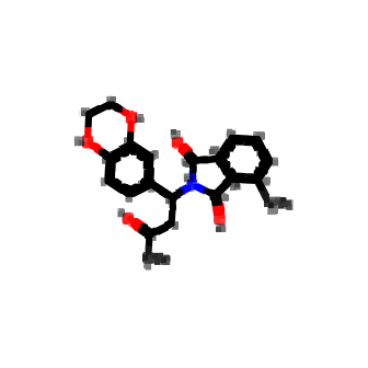 COC(=O)CC(c1ccc2c(c1)OCCO2)N1C(=O)c2cccc(NC(C)=O)c2C1=O